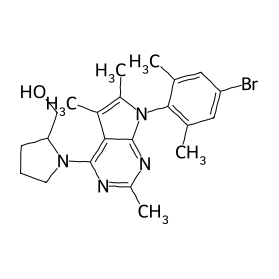 Cc1nc(N2CCCC2CO)c2c(C)c(C)n(-c3c(C)cc(Br)cc3C)c2n1